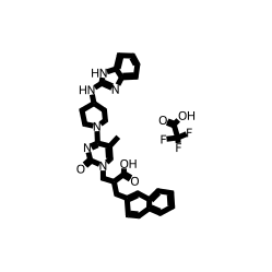 Cc1cn(CC(Cc2ccc3ccccc3c2)C(=O)O)c(=O)nc1N1CCC(Nc2nc3ccccc3[nH]2)CC1.O=C(O)C(F)(F)F